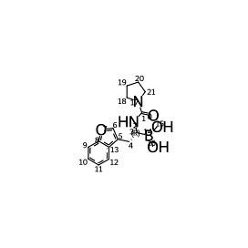 O=C(N[C@@H](Cc1coc2ccccc12)B(O)O)N1CCCC1